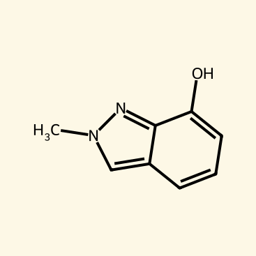 Cn1cc2cccc(O)c2n1